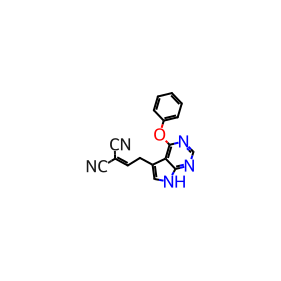 N#CC(C#N)=CCc1c[nH]c2ncnc(Oc3ccccc3)c12